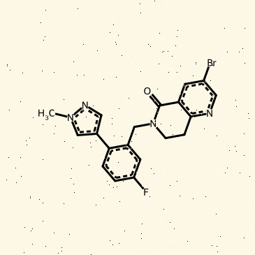 Cn1cc(-c2ccc(F)cc2CN2CCc3ncc(Br)cc3C2=O)cn1